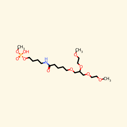 COCCOCC(COCCCCC(=O)NCCCCOP(=O)(O)OC)OCCOC